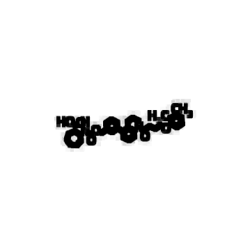 Cc1cccc(OCCCC(=O)N2CCCc3c(-c4cccc(COC(=O)N[C@H]5CCCCC[C@H]5C(=O)O)c4)cccc32)c1C